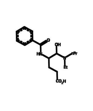 CCCN(CC)C(O)C(CCC(=O)O)NC(=O)c1ccccc1